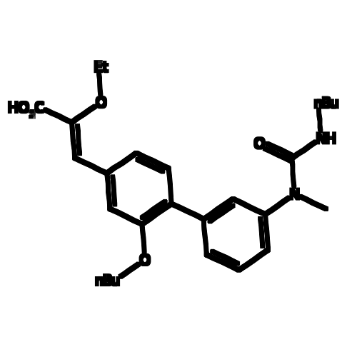 CCCCNC(=O)N(C)c1cccc(-c2ccc(C=C(OCC)C(=O)O)cc2OCCCC)c1